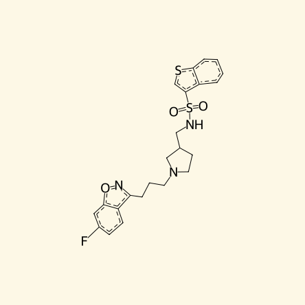 O=S(=O)(NCC1CCN(CCCc2noc3cc(F)ccc23)C1)c1csc2ccccc12